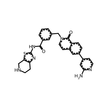 Nc1cc(-c2ccc3c(=O)n(Cc4cccc(C(=O)Nc5nc6c(s5)CNCC6)c4)ccc3c2)ccn1